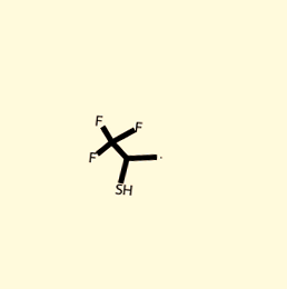 [CH2]C(S)C(F)(F)F